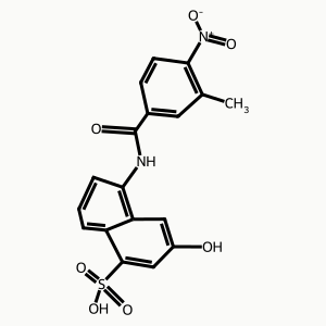 Cc1cc(C(=O)Nc2cccc3c(S(=O)(=O)O)cc(O)cc23)ccc1[N+](=O)[O-]